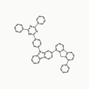 c1ccc(-c2nc(-c3ccccc3)nc(-c3ccc(-n4c5ccccc5c5ccc(-c6cccc7c6Cc6c(-c8ccccc8)cccc6-7)cc54)cc3)n2)cc1